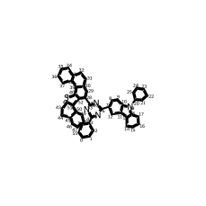 c1ccc(-c2nc(-c3ccc4c(c3)c3ccccc3n4-c3ccccc3)nc(-c3cc4ccc5ccccc5c4c4sc5ccc6ccccc6c5c34)n2)cc1